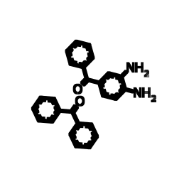 Nc1ccc(C(=O)c2ccccc2)cc1N.O=C(c1ccccc1)c1ccccc1